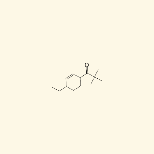 CCC1C=CC(C(=O)C(C)(C)C)CC1